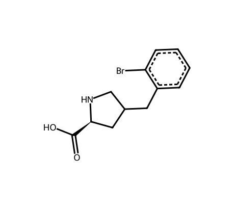 O=C(O)[C@@H]1CC(Cc2ccccc2Br)CN1